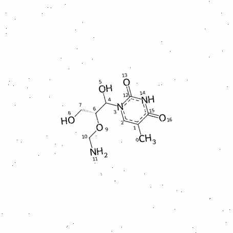 Cc1cn(C(O)[C@@H](CO)OCN)c(=O)[nH]c1=O